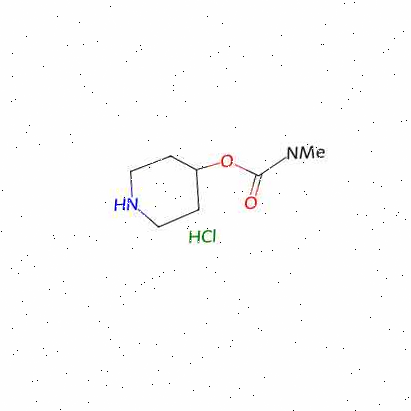 CNC(=O)OC1CCNCC1.Cl